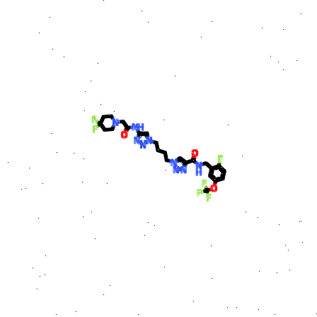 O=C(CN1CCC(F)(F)CC1)Nc1cn(CCCCn2cc(C(=O)NCc3cc(OC(F)(F)F)ccc3F)nn2)nn1